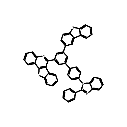 c1ccc(-c2nc3ccccc3n2-c2ccc(-c3cc(-c4ccc5sc6ccccc6c5c4)cc(-c4nc5ccccc5c5sc6ccccc6c45)c3)cc2)cc1